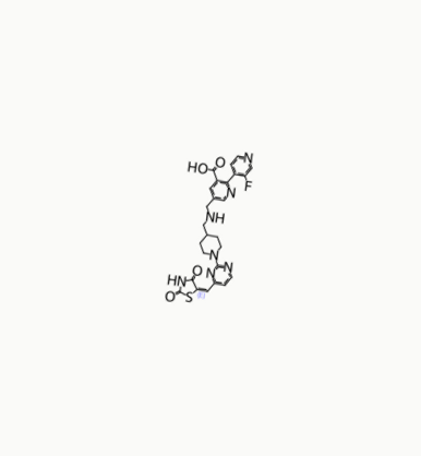 O=C1NC(=O)/C(=C\c2ccnc(N3CCC(CNCc4cnc(-c5ccncc5F)c(C(=O)O)c4)CC3)n2)S1